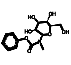 CN(C(=O)Oc1ccccc1)[C@@H]1O[C@H](CO)[C@@H](O)[C@H](O)[C@H]1O